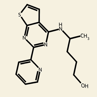 CC(CCCO)Nc1nc(-c2ccccn2)nc2sccc12